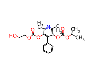 Cc1nc(C)c(OC(=O)OC(C)C)c(-c2ccccc2)c1OC(=O)OCCO